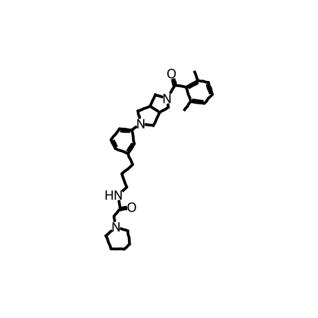 Cc1cccc(C)c1C(=O)N1CC2CN(c3cccc(CCCNC(=O)CN4CCCCC4)c3)CC2C1